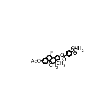 C=C[C@]12CC[C@]3(C)C[C@H](OC(=O)c4ccc(S(N)(=O)=O)cc4)CC3C1[C@H](F)Cc1cc(OC(C)=O)ccc12